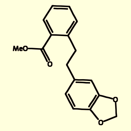 COC(=O)c1ccccc1CCc1ccc2c(c1)OCO2